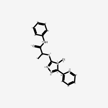 CCn1c(SC(C)C(=O)Nc2ccccc2)nnc1-c1ccccn1